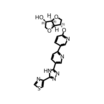 O[C@@H]1CO[C@H]2[C@@H]1OC[C@@H]2Oc1ccc(-c2ccc(-c3nnc(-c4cscn4)[nH]3)cn2)cn1